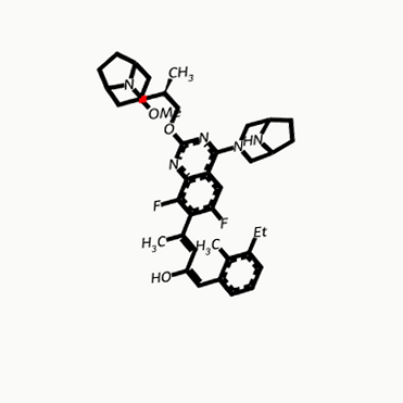 CCc1cccc(/C=C(O)\C=C(/C)c2c(F)cc3c(N4CC5CCC(C4)N5)nc(OC[C@H](C)CN4C5CCC4CC(OC)C5)nc3c2F)c1C